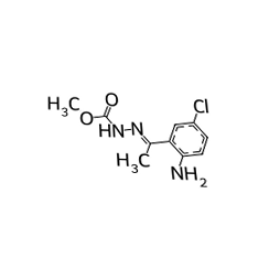 COC(=O)N/N=C(\C)c1cc(Cl)ccc1N